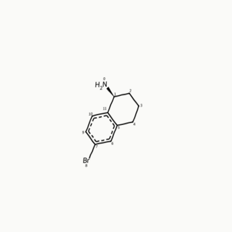 N[C@H]1CCCc2cc(Br)ccc21